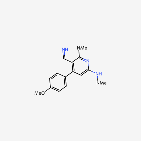 CNNc1cc(-c2ccc(OC)cc2)c(C=N)c(NC)n1